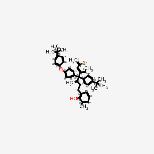 C=C(Br)/C=C(\CC)C(C(=C)CCC1=C(O)C(C)CC=C1)(c1ccc(Oc2ccc(C(C)(C)C)cc2)cc1)c1ccc(C(C)(C)C)cc1